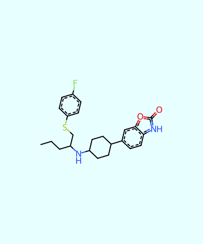 CCCC(CSc1ccc(F)cc1)NC1CCC(c2ccc3[nH]c(=O)oc3c2)CC1